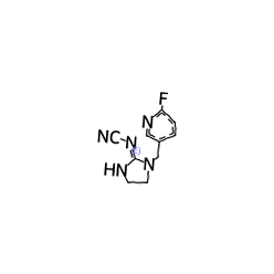 N#C/N=C1\NCCN1Cc1ccc(F)nc1